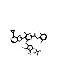 Cc1nc(NCc2c(F)cccc2F)nc(NC2C[C@H](CS(C)(=O)=O)[C@@H](O)[C@@]2(C)O)c1-c1nc2c(C3CC3)nccc2s1